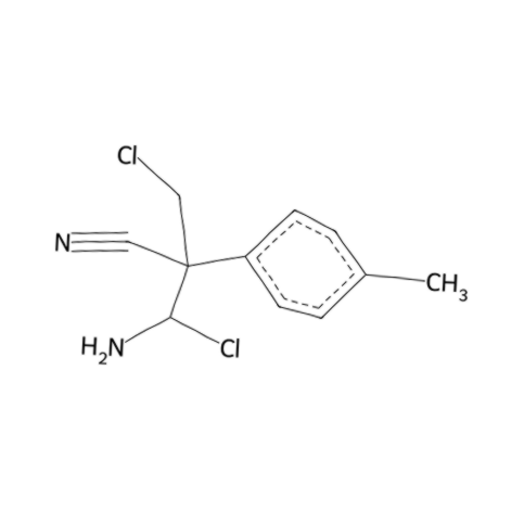 Cc1ccc(C(C#N)(CCl)C(N)Cl)cc1